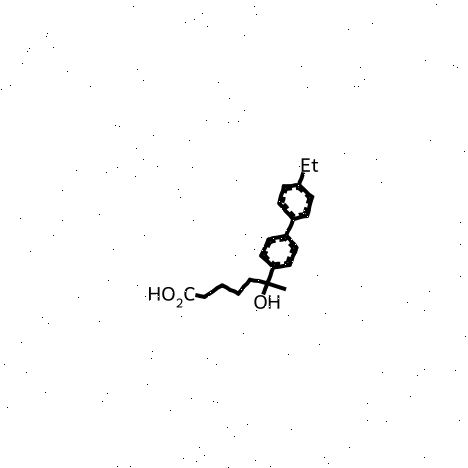 CCc1ccc(-c2ccc(C(C)(O)CCCCC(=O)O)cc2)cc1